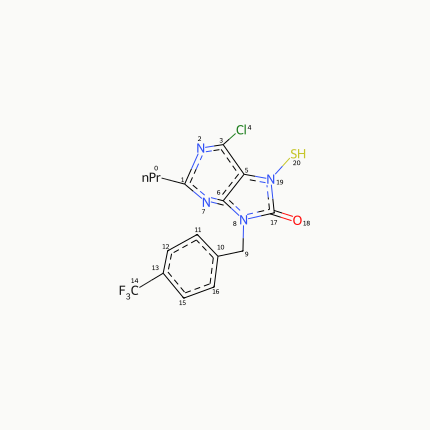 CCCc1nc(Cl)c2c(n1)n(Cc1ccc(C(F)(F)F)cc1)c(=O)n2S